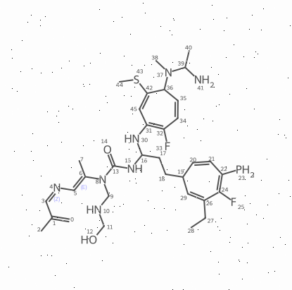 C=C(C)/C=N\C=C(/C)N(CNCO)C(=O)NC(CCC1C=CC(P)=C(F)C(CC)=C1)NC1=C(F)C=CC(N(C)C(C)N)C(SC)=C1